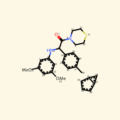 COc1cc(NC(C(=O)N2CCSCC2)c2ccc(C)cc2)cc(OC)c1.c1cc2cc-2c1